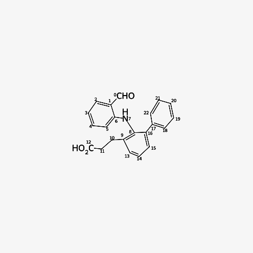 O=Cc1ccccc1Nc1c(CCC(=O)O)cccc1-c1ccccc1